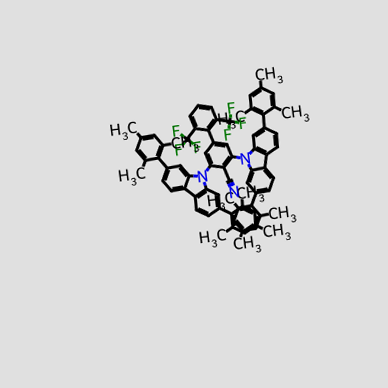 Cc1cc(C)c(-c2ccc3c4ccc(-c5c(C)cc(C)cc5C)cc4n(-c4cc(-c5c(C(F)(F)F)cccc5C(F)(F)F)cc(-n5c6cc(-c7c(C)cc(C)cc7C)ccc6c6ccc(-c7c(C)cc(C)cc7C)cc65)c4C#N)c3c2)c(C)c1